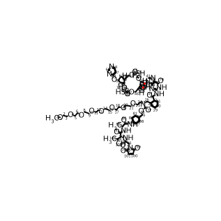 COCCOCCOCCOCCOCCOCCOCCOCCN(Cc1ccccc1C(=O)Nc1nc2c(ncn2[C@@H]2O[C@H]3CO[P@@](=O)(S)O[C@H]4C[C@H](Oc5ccncn5)C[C@@H]4CO[P@@](=O)(S)O[C@@H]2[C@H]3O)c(=O)[nH]1)C(=O)OCc1ccc(NC(=O)[C@H](C)NC(=O)[C@@H](NC(=O)CN2C(=O)C=CC2=O)C(C)C)cc1